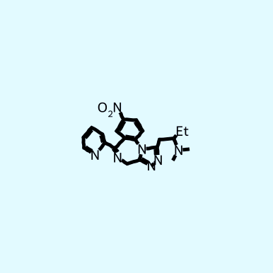 CCC(Cc1nnc2n1-c1ccc([N+](=O)[O-])cc1C(c1ccccn1)=NC2)N(C)C